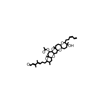 C=C/C=C\CCC1OC2CCC3(C)OC4C(OC(C)=O)CC5(C)OC(CC/C=C(C)/C(C)=C/C=O)C(C)CC5OC4CC3OC2CCC1(C)O